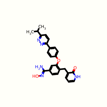 CC(C)c1ccc(-c2ccc(Oc3cc(C(N)=NO)ccc3Cc3ccc[nH]c3=O)cc2)nn1